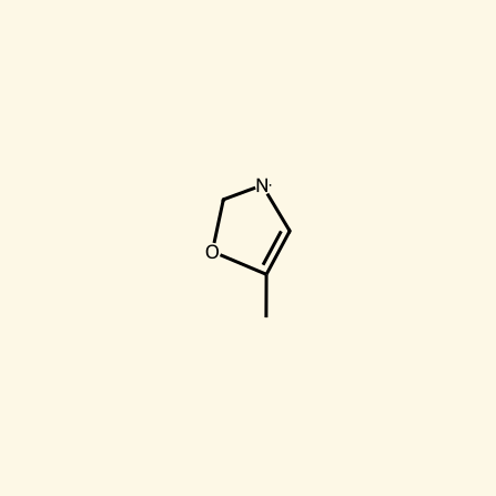 CC1=C[N]CO1